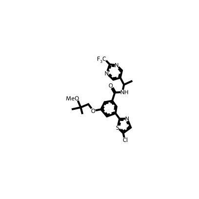 COC(C)(C)COc1cc(C(=O)NC(C)c2cnc(C(F)(F)F)nc2)cc(-c2ncc(Cl)s2)c1